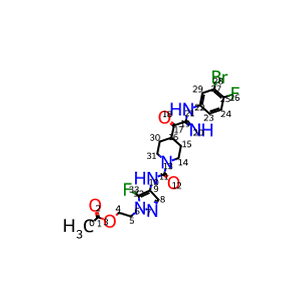 CC(=O)OCCn1ncc(NC(=O)N2CCC(C(=O)C(=N)Nc3ccc(F)c(Br)c3)CC2)c1F